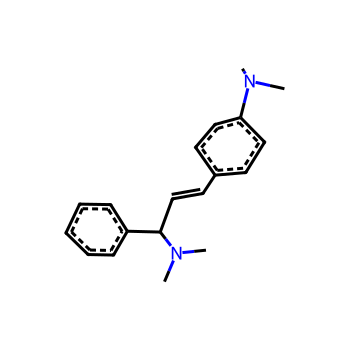 CN(C)c1ccc(C=CC(c2ccccc2)N(C)C)cc1